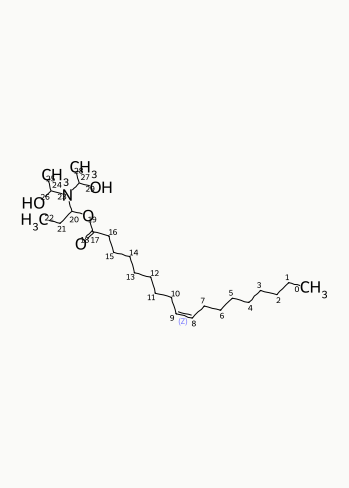 CCCCCCCC/C=C\CCCCCCCC(=O)OC(CC)N(C(C)O)C(C)O